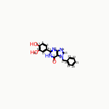 O=c1[nH]c(-c2ccc(O)c(O)c2)nc2ncn(Cc3ccccc3)c12